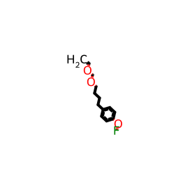 C=COCOCCCCc1ccc(OF)cc1